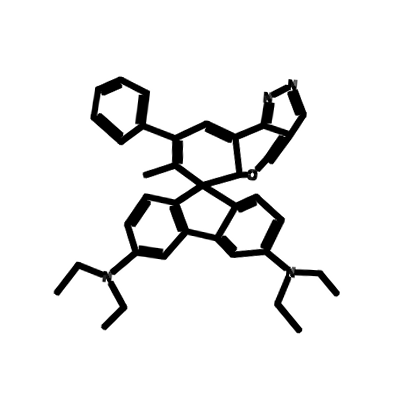 CCN(CC)c1ccc2c(c1)-c1cc(N(CC)CC)ccc1C21C(C)=C(c2ccccc2)C=C2C3=NN=CC3=COC21